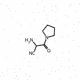 N#CC(N)C(=O)N1CCCC1